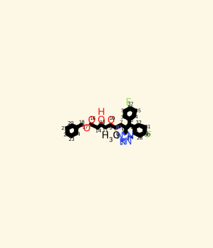 Cn1nnnc1C(/C=C/C(=O)CC(O)CC(=O)OCc1ccccc1)=C(c1ccc(F)cc1)c1ccc(F)cc1